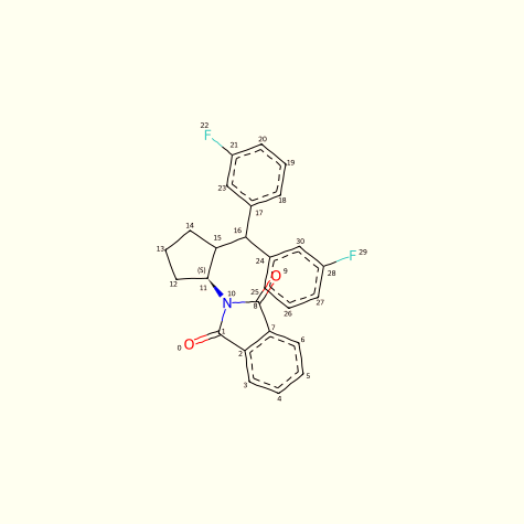 O=C1c2ccccc2C(=O)N1[C@H]1CCCC1C(c1cccc(F)c1)c1cccc(F)c1